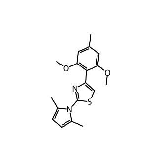 COc1cc(C)cc(OC)c1-c1csc(-n2c(C)ccc2C)n1